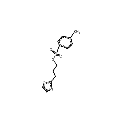 Cc1ccc(S(=O)(=O)OCCCc2ncco2)cc1